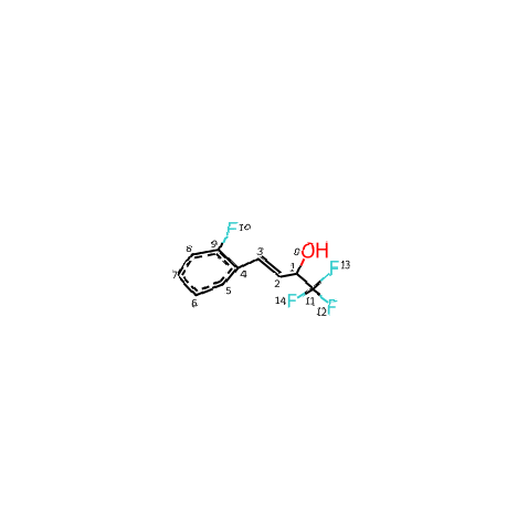 OC(/C=C/c1ccccc1F)C(F)(F)F